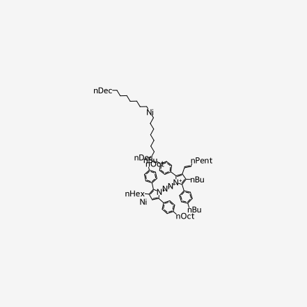 CCCCCC=CC1=C(c2ccc(CCCC)cc2)[N+](=[N-])C(c2ccc(CCCC)cc2)=C1CCCC.CCCCCCCCCCCCCCCC[CH2][Ni][CH2]CCCCCCCCCCCCCCCC.CCCCCCCCc1ccc(C2=CC(CCCCCC)=C(c3ccc(CCCCCCCC)cc3)[N+]2=[N-])cc1.[Ni]